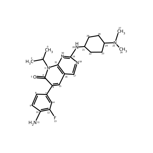 CC(C)n1c(=O)c(-c2ccc(N)c(F)c2)cc2cnc(NC3CCC(N(C)C)CC3)nc21